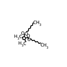 CCCCCCCCOC(=O)C1C(C)CC(CC)C1C(=O)OCCCCCCCC